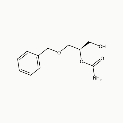 NC(=O)O[C@H](CO)COCc1ccccc1